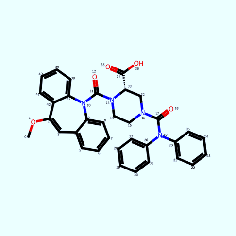 COC1=Cc2ccccc2N(C(=O)N2CCN(C(=O)N(c3ccccc3)c3ccccc3)C[C@H]2C(=O)O)c2ccccc21